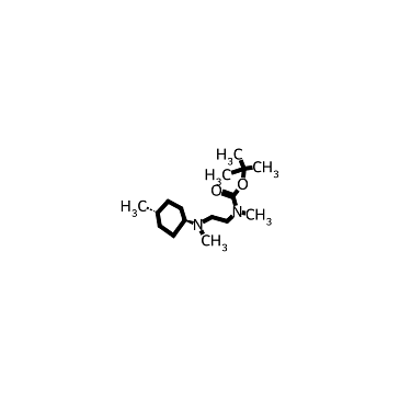 CN(CCN(C)[C@H]1CC[C@H](C)CC1)C(=O)OC(C)(C)C